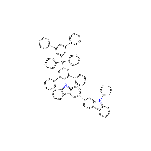 c1ccc(-c2cc(-c3ccccc3)cc([Si](c3ccccc3)(c3ccccc3)c3cc(-c4ccccc4)c(-n4c5ccccc5c5cc(-c6ccc7c8ccccc8n(-c8ccccc8)c7c6)ccc54)c(-c4ccccc4)c3)c2)cc1